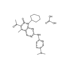 CC(=O)c1c(C)c2cnc(Nc3ccc(N(C)C)cn3)nc2n(C2CCCCC2)c1=O.O=C(O)O